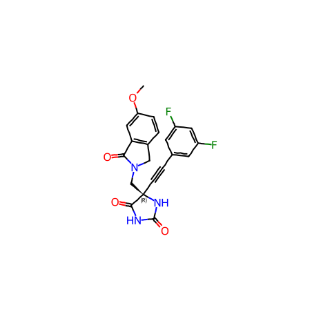 COc1ccc2c(c1)C(=O)N(C[C@@]1(C#Cc3cc(F)cc(F)c3)NC(=O)NC1=O)C2